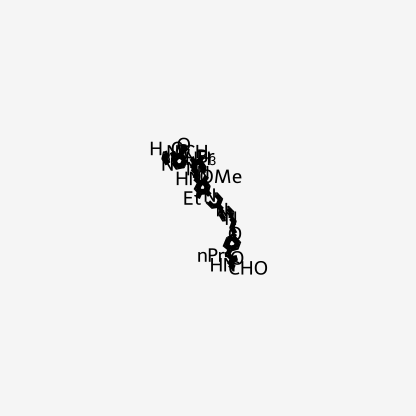 CCCC(C(=O)NC=O)c1ccc(OCCN2CCN(C3CCN(c4cc(OC)c(Nc5ncc(Br)c(Nc6ccc7nccnc7c6P(C)(C)=O)n5)cc4CC)CC3)CC2)cc1